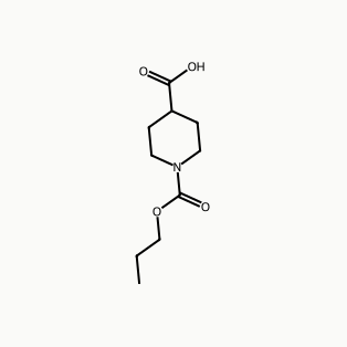 CCCOC(=O)N1CCC(C(=O)O)CC1